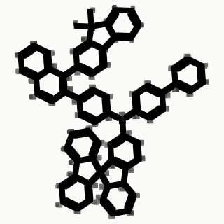 CC1(C)c2ccccc2-c2ccc(-c3c(-c4ccc(N(c5ccc(-c6ccccc6)cc5)c5ccc6c(c5)C5(c7ccccc7-c7ccccc75)C5C=CC=CC65)cc4)ccc4ccccc34)cc21